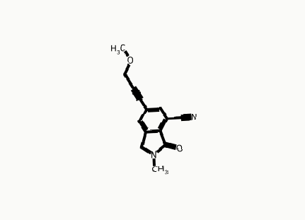 COCC#Cc1cc(C#N)c2c(c1)CN(C)C2=O